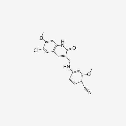 COc1cc2[nH]c(=O)c(CNc3ccc(C#N)c(OC)c3)cc2cc1Cl